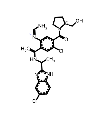 C=C(NC(C)c1nc2cc(Cl)ccc2[nH]1)c1cc(Cl)c(C(=O)N2CCC[C@H]2CO)cc1/N=C\N